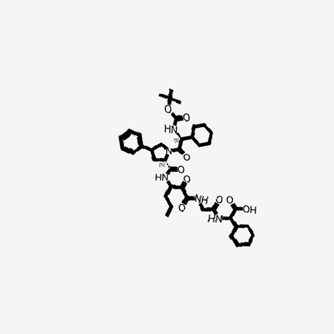 CCCC(NC(=O)[C@@H]1CC(c2ccccc2)CN1C(=O)[C@@H](NC(=O)OC(C)(C)C)C1CCCCC1)C(=O)C(=O)NCC(=O)NC(C(=O)O)C1CCCCC1